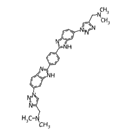 CN(C)Cc1cn(-c2ccc3nc(-c4ccc(-c5nc6ccc(-n7cc(CN(C)C)nn7)cc6[nH]5)cc4)[nH]c3c2)nn1